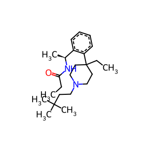 CCC(=O)N[C@@H](C)c1ccccc1C1(CC)CCN(CCC(C)(C)C)CC1